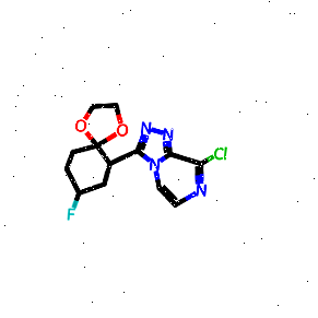 FC1CCC2(OCCO2)C(c2nnc3c(Cl)nccn23)C1